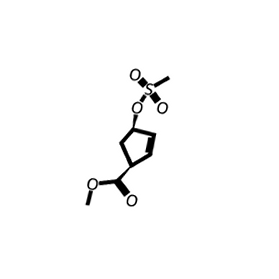 COC(=O)[C@@H]1C=C[C@H](OS(C)(=O)=O)C1